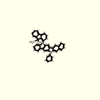 CC1(C)c2ccccc2-c2cccc(-n3c4ccccc4c4cc5c(cc43)c3cc4ccccc4cc3n5-c3ccccc3)c21